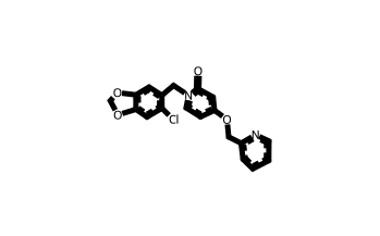 O=c1cc(OCc2ccccn2)ccn1Cc1cc2c(cc1Cl)OCO2